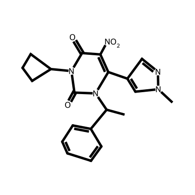 CC(c1ccccc1)n1c(-c2cnn(C)c2)c([N+](=O)[O-])c(=O)n(C2CCC2)c1=O